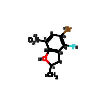 CC1Cc2c(F)c(Br)cc([N+](=O)[O-])c2O1